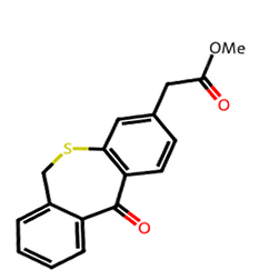 COC(=O)Cc1ccc2c(c1)SCc1ccccc1C2=O